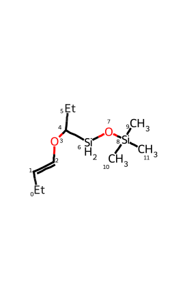 CCC=COC(CC)[SiH2]O[Si](C)(C)C